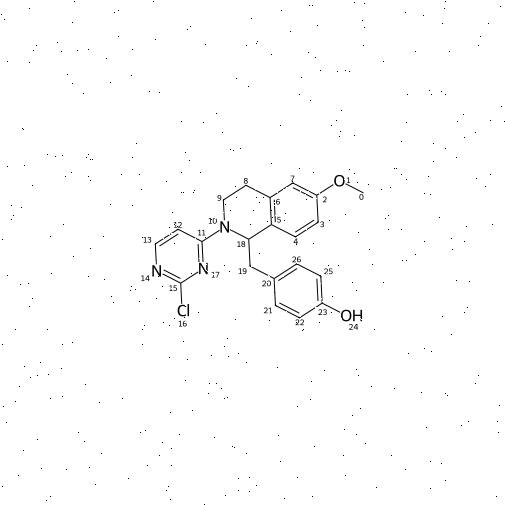 COc1ccc2c(c1)CCN(c1ccnc(Cl)n1)C2Cc1ccc(O)cc1